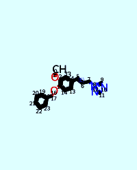 COc1cc(/C=C/Cn2cncn2)ccc1OCc1ccccc1